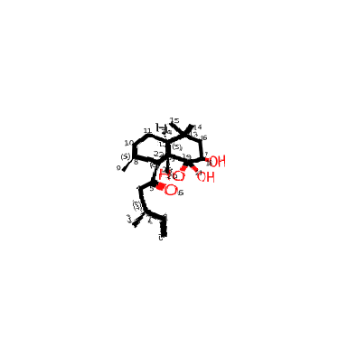 C=C[C@@H](C)CC(=O)[C@H]1[C@@H](C)CC[C@H]2C(C)(C)CC(O)C(O)(O)[C@]12C